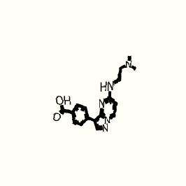 CN(C)CCNc1ccn2ncc(-c3ccc(C(=O)O)cc3)c2n1